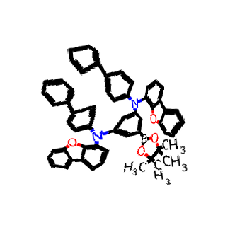 CC1(C)OB(c2cc(N(c3ccc(-c4ccccc4)cc3)c3cccc4c3oc3ccccc34)cc(N(c3ccc(-c4ccccc4)cc3)c3cccc4c3oc3ccccc34)c2)OC1(C)C